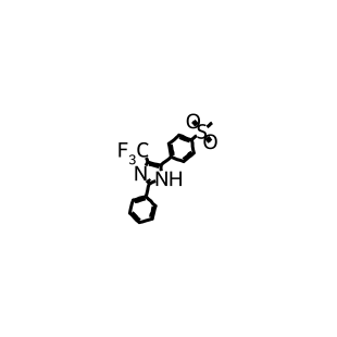 CS(=O)(=O)c1ccc(-c2[nH]c(-c3ccccc3)nc2C(F)(F)F)cc1